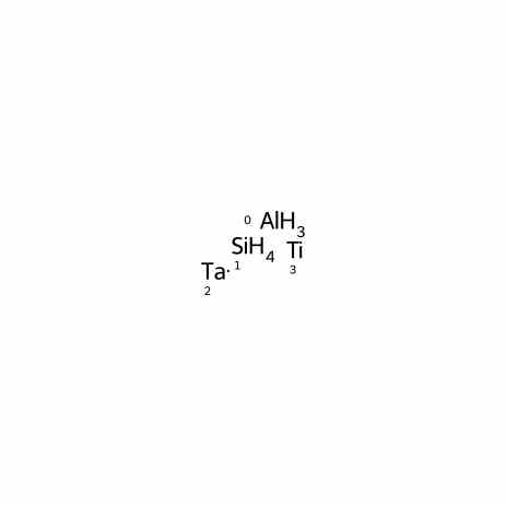 [AlH3].[SiH4].[Ta].[Ti]